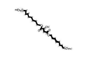 CCCCCCCCCCCCCCCCCCOC(=O)C[C@H](O)C(=O)OCCCCCCCCCCCCCCCCCC